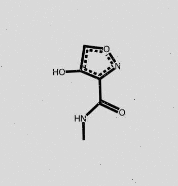 CNC(=O)c1nocc1O